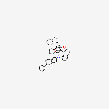 c1ccc(-c2ccc3cc(N(c4ccc(-c5cccc6cccc(-c7ccccc7)c56)cc4)c4cccc5ccc6oc7ccccc7c6c45)ccc3c2)cc1